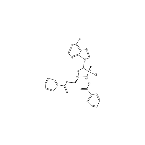 C[C@]1(Cl)C(n2cnc3c(Cl)ncnc32)O[C@H](COC(=O)c2ccccc2)[C@H]1OC(=O)c1ccccc1